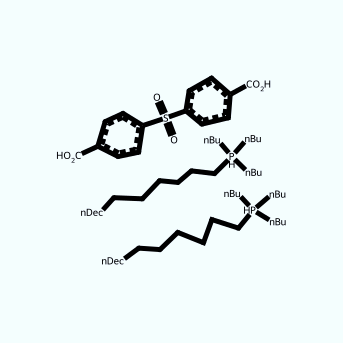 CCCCCCCCCCCCCCCC[PH](CCCC)(CCCC)CCCC.CCCCCCCCCCCCCCCC[PH](CCCC)(CCCC)CCCC.O=C(O)c1ccc(S(=O)(=O)c2ccc(C(=O)O)cc2)cc1